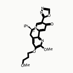 COCCCOc1cc2c(nc1OC)-c1cc(=O)c(-c3nnco3)cn1[C@H](C(C)C)C2